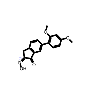 COc1ccc(-c2ccc3c(c2)C(=O)/C(=N\O)C3)c(OC)c1